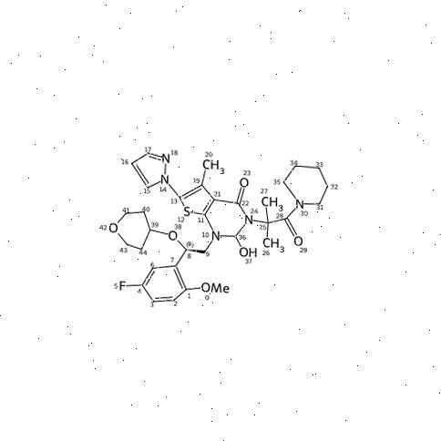 COc1ccc(F)cc1[C@H](CN1c2sc(-n3cccn3)c(C)c2C(=O)N(C(C)(C)C(=O)N2CCCCC2)C1O)OC1CCOCC1